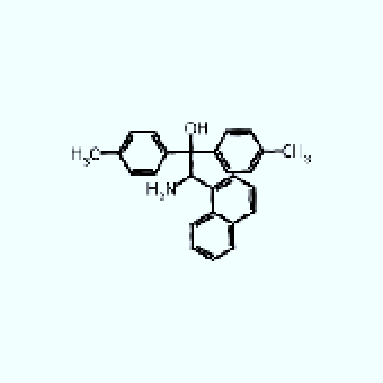 Cc1ccc(C(O)(c2ccc(C)cc2)C(N)c2cccc3ccccc23)cc1